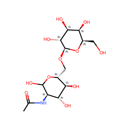 CC(=O)N[C@H]1C(O)O[C@H](CO[C@@H]2O[C@H](CO)[C@H](O)[C@H](O)[C@H]2O)[C@@H](O)[C@@H]1O